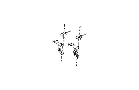 CCCCCCCCOC(CCCCCN(CCCCO)CCCCCCOC(=O)C(CCCCCCCC)SCCCCC)O[Si](C)(C)O[Si](C)(C)CCCCCCCC.CCCCCCCCOC(CCCCCN(CCCCO)CCCCCCOC(=O)C(CCCCCCCC)SCCCCC)O[Si](C)(C)O[Si](C)(C)CCCCCCCC